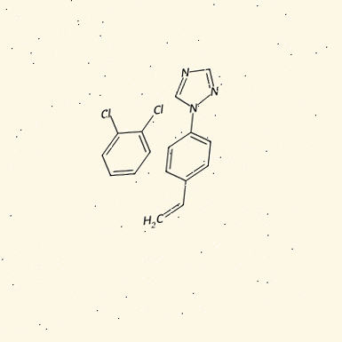 C=Cc1ccc(-n2cncn2)cc1.Clc1ccccc1Cl